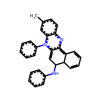 Cc1ccc2nc3c([n+](-c4ccccc4)c2c1)=CC(Nc1ccccc1)C1C=CC=CC=31